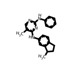 Cc1cnc(Nc2ccccc2)nc1Nc1ccc2c(c1)C(C)CC2